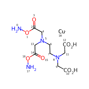 NOC(=O)CN(CCN(CC(=O)O)CC(=O)O)CC(=O)ON.[Cu]